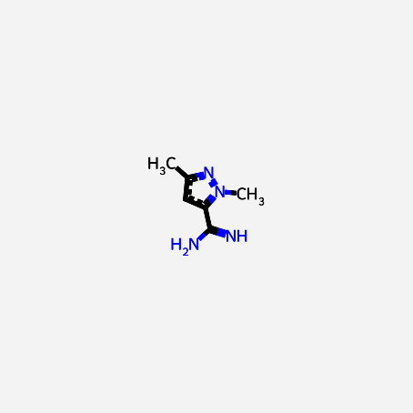 Cc1cc(C(=N)N)n(C)n1